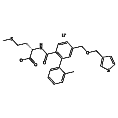 CSCC[C@H](NC(=O)c1ccc(COCc2ccsc2)cc1-c1ccccc1C)C(=O)[O-].[Li+]